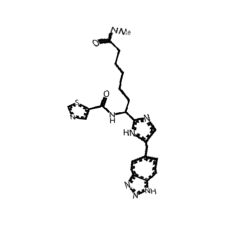 CNC(=O)CCCCCC(NC(=O)c1cncs1)c1ncc(-c2ccc3[nH]nnc3c2)[nH]1